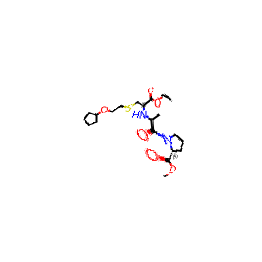 CCOC(=O)[C@H](CSCCOC1CCCC1)NC(C)C(=O)N1CCC[C@H]1C(=O)OC